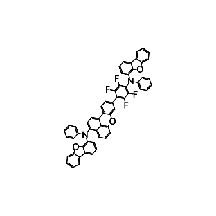 Fc1c(F)c(N(c2ccccc2)c2cccc3c2oc2ccccc23)c(F)c(F)c1-c1ccc2c(c1)Oc1cccc3c(N(c4ccccc4)c4cccc5c4oc4ccccc45)ccc-2c13